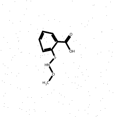 CONSc1ccccc1C(=O)O